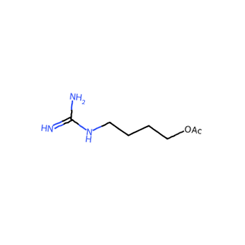 CC(=O)OCCCCNC(=N)N